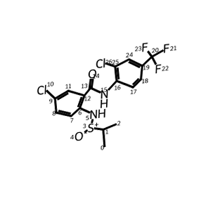 CC(C)[S+]([O-])Nc1ccc(Cl)cc1C(=O)Nc1ccc(C(F)(F)F)cc1Cl